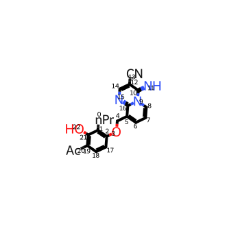 CCCc1c(OCc2cccn3c(=N)c(C#N)cnc23)ccc(C(C)=O)c1O